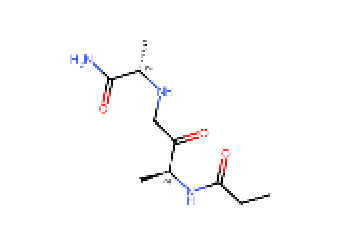 CCC(=O)N[C@@H](C)C(=O)CN[C@@H](C)C(N)=O